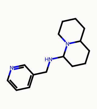 c1cncc(CNC2CCCC3CCCCN32)c1